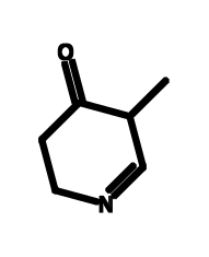 CC1C=NCCC1=O